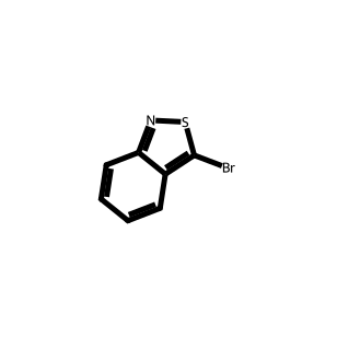 Brc1snc2ccccc12